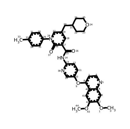 COc1cc2nccc(Oc3ccc(NC(=O)c4cc(CC5CCOCC5)cn(-c5ccc(C)cc5)c4=O)nc3)c2cc1OC